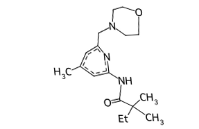 CCC(C)(C)C(=O)Nc1cc(C)cc(CN2CCOCC2)n1